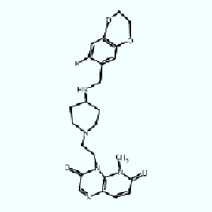 Cn1c(=O)ccc2ncc(=O)n(CCN3CCC(NCc4cc5c(cc4F)OCCO5)CC3)c21